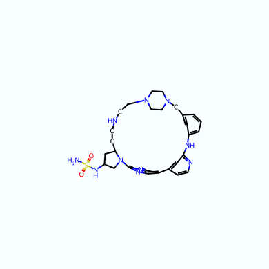 NS(=O)(=O)NC1CC2CCNCCN3CCN(CC3)Cc3cccc(c3)Nc3cc(ccn3)-c3cnc(nc3)N2C1